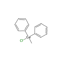 [CH3][Ge]([Cl])([c]1ccccc1)[c]1ccccc1